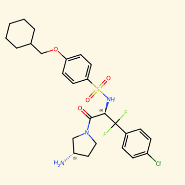 N[C@H]1CCN(C(=O)[C@@H](NS(=O)(=O)c2ccc(OCC3CCCCC3)cc2)C(F)(F)c2ccc(Cl)cc2)C1